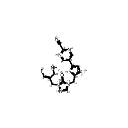 Cl.N#Cc1ncc(-c2ccc(Cn3cnn(C/C(=C/F)CN)c3=O)s2)cn1